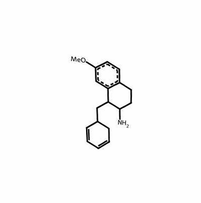 COc1ccc2c(c1)C(CC1C=CC=CC1)C(N)CC2